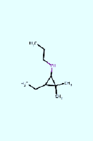 CCCPC1C(CC)C1(C)C